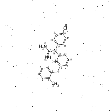 Cc1ccccc1Cc1cccc(N(C(=N)N)c2ccc(Cl)cc2)n1